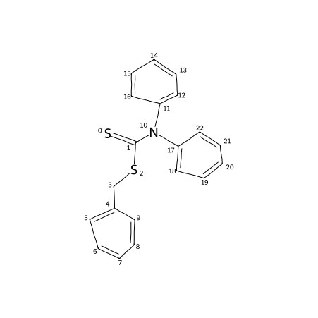 S=C(SCc1ccccc1)N(c1ccccc1)c1ccccc1